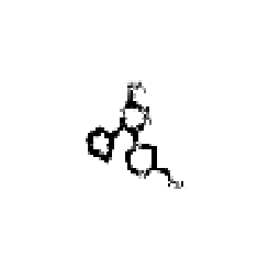 Nc1nnc(N2CCOC(CO)C2)c(-c2ccccc2)n1